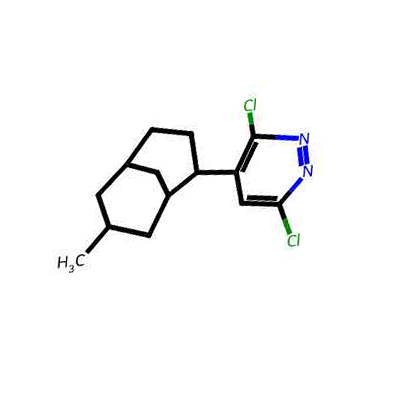 CC1CC2CCC(c3cc(Cl)nnc3Cl)C(C1)C2